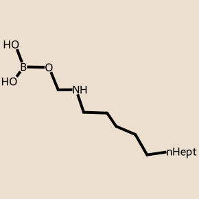 CCCCCCCCCCCCNCOB(O)O